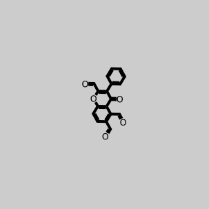 O=Cc1ccc2oc(C=O)c(-c3ccccc3)c(=O)c2c1C=O